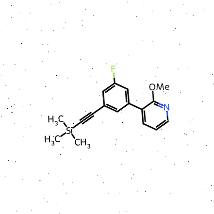 COc1ncccc1-c1cc(F)cc(C#C[Si](C)(C)C)c1